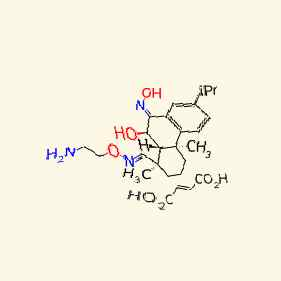 CC(C)c1ccc2c(c1)/C(=N\O)[C@H](O)[C@H]1[C@](C)(/C=N/OCCN)CCC[C@]21C.O=C(O)/C=C/C(=O)O